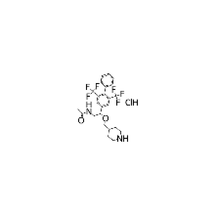 CC(=O)NCC(OCC1CCNCC1)c1cc(C(F)(F)F)c(-c2ccccc2)c(C(F)(F)F)c1.Cl